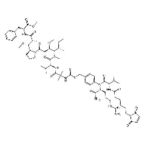 CC[C@H](C)[C@@H]([C@@H](CC(=O)N1CCC[C@H]1[C@H](OC)[C@@H](C)C(=O)N[C@@H](Cc1ccccc1)C(=O)OC)OC)N(C)C(=O)[C@@H](NC(=O)C(C)(C)NC(=O)OCc1ccc(N(C(=O)[C@@H](NC(=O)CCCCCN2C(=O)C=CC2=O)C(C)C)[C@@H](CCCNC(N)=O)C(N)=O)cc1)C(C)C